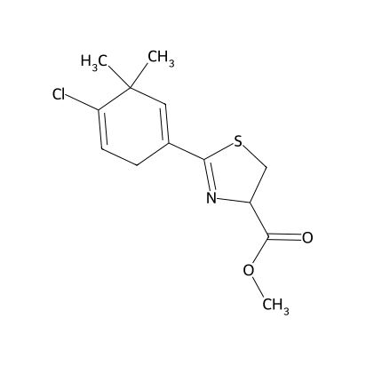 COC(=O)C1CSC(C2=CC(C)(C)C(Cl)=CC2)=N1